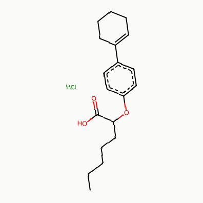 CCCCCC(Oc1ccc(C2=CCCCC2)cc1)C(=O)O.Cl